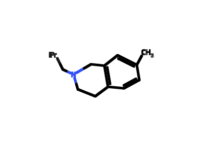 Cc1ccc2c(c1)CN(CC(C)C)CC2